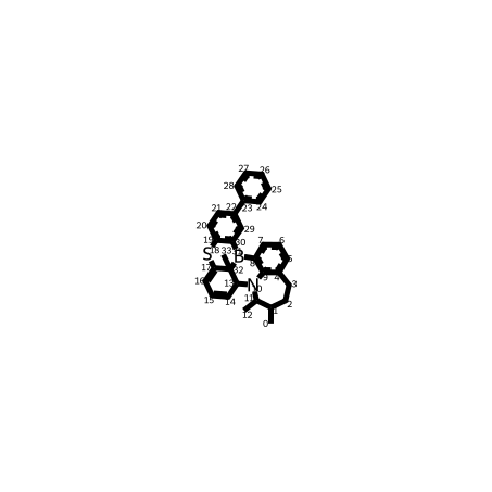 CC1CCc2cccc3c2N(C1C)C1C=CC=C2Sc4ccc(-c5ccccc5)cc4B3C21C